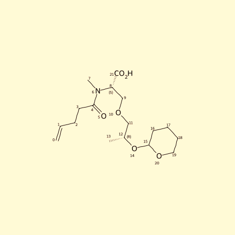 C=CCCC(=O)N(C)[C@@H](COC[C@@H](C)OC1CCCCO1)C(=O)O